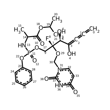 C=C=C=C(O)[C@H](O)[C@@](F)(COP(=O)(NC(C)C(=O)OC(C)C)Oc1ccccc1)OCn1ccc(=O)[nH]c1=O